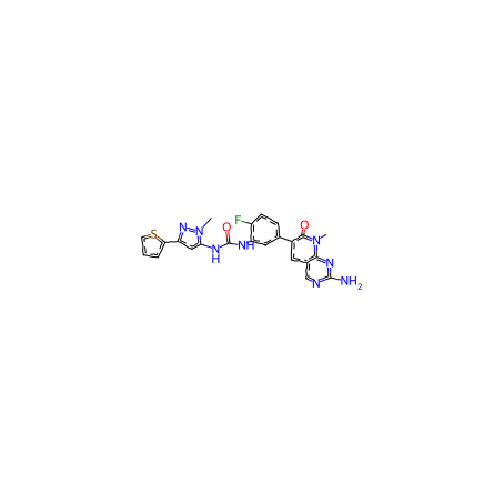 Cn1nc(-c2cccs2)cc1NC(=O)Nc1cc(-c2cc3cnc(N)nc3n(C)c2=O)ccc1F